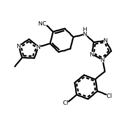 Cc1cn(C2=CCC(Nc3ncn(Cc4ccc(Cl)cc4Cl)n3)C=C2C#N)cn1